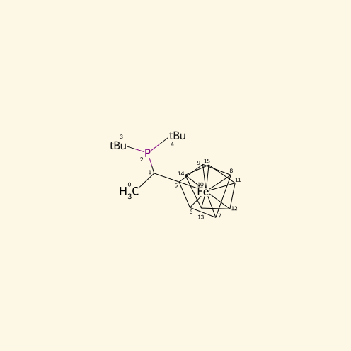 CC(P(C(C)(C)C)C(C)(C)C)[C]12[CH]3[CH]4[CH]5[CH]1[Fe]45321678[CH]2[CH]1[CH]6[CH]7[CH]28